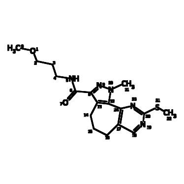 COCCCNC(=O)c1nn(C)c2c1CCCc1cnc(SC)nc1-2